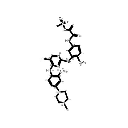 C=C(OS(C)(=O)=O)C(=O)Nc1ccc(OC)c(Nc2ncc(Cl)c(Nc3ccc(N4CCN(C)CC4)cc3OC)n2)c1